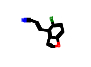 N#CC=Cc1c(Cl)ccc2occc12